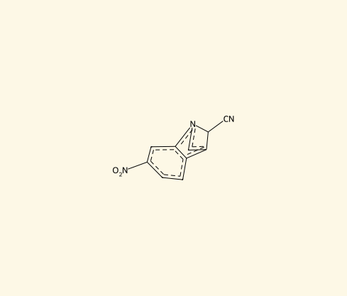 N#CC1c2cn1c1cc([N+](=O)[O-])ccc21